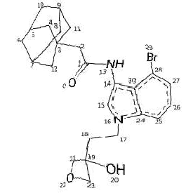 O=C(CC12CC3CC(CC(C3)C1)C2)Nc1cn(CCC2(O)COC2)c2cccc(Br)c12